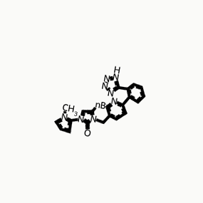 CCCCc1cn(-c2cccn2C)c(=O)n1Cc1ccc(-c2ccccc2-c2nnn[nH]2)nc1